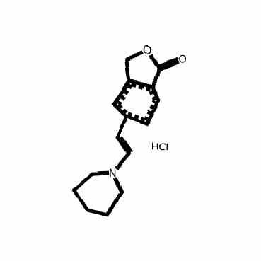 Cl.O=C1OCc2cc(/C=C/N3CCCCC3)ccc21